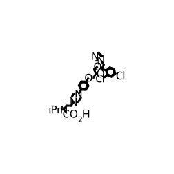 CC(C)N(CCN1CCN(c2ccc(OCC3COC(Cn4ccnc4)(c4ccc(Cl)cc4Cl)O3)cc2)CC1)C(=O)O